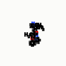 C=C/C(=C\c1onc(C(=O)N2CCC[C@H]2c2ccccc2)c1C)c1ccnn1C